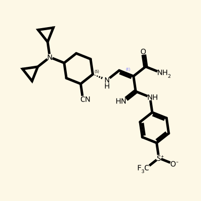 N#CC1CC(N(C2CC2)C2CC2)CC[C@@H]1N/C=C(\C(=N)Nc1ccc([S+]([O-])C(F)(F)F)cc1)C(N)=O